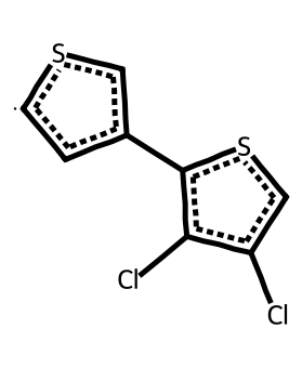 Clc1csc(-c2c[c]sc2)c1Cl